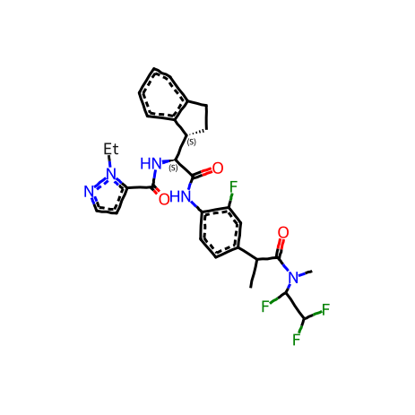 CCn1nccc1C(=O)N[C@H](C(=O)Nc1ccc(C(C)C(=O)N(C)C(F)C(F)F)cc1F)[C@H]1CCc2ccccc21